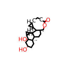 C[C@]12CCC3C(C1[C@@H]1C[C@@H]1CCCC(=O)OC2)[C@H]1C[C@H]1[C@]1(O)C[C@@H](O)CC[C@]31C